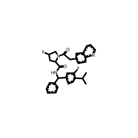 CC(C)c1ccc(C(NC(=O)C2CC(F)CN2C(=O)Cc2ccc3ncccc3c2)c2ccccc2)cc1F